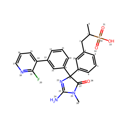 CC(Cc1cccc(C2(c3cccc(-c4cccnc4F)c3)N=C(N)N(C)C2=O)c1)S(=O)(=O)O